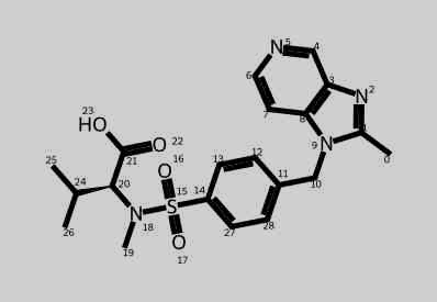 Cc1nc2cnccc2n1Cc1ccc(S(=O)(=O)N(C)[C@H](C(=O)O)C(C)C)cc1